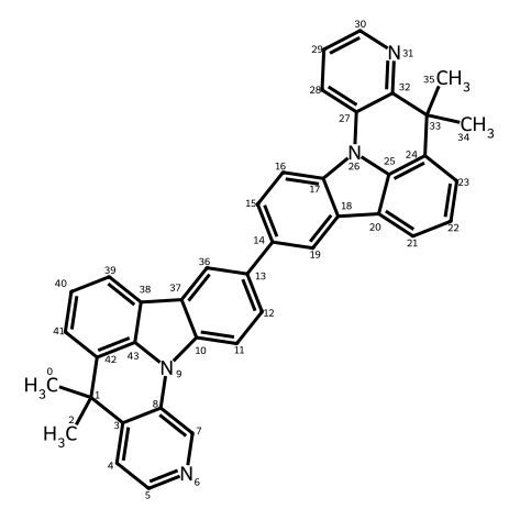 CC1(C)c2ccncc2-n2c3ccc(-c4ccc5c(c4)c4cccc6c4n5-c4cccnc4C6(C)C)cc3c3cccc1c32